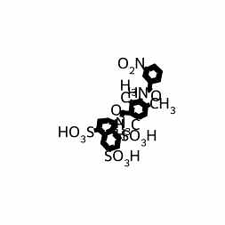 Cc1cc(C)c(C(=O)Nc2ccc(S(=O)(=O)O)c3cc(S(=O)(=O)O)cc(S(=O)(=O)O)c23)c(C)c1NC(=O)c1cccc([N+](=O)[O-])c1